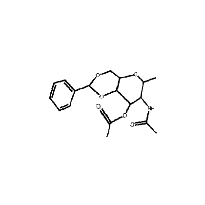 CC(=O)NC1C(C)OC2COC(c3ccccc3)OC2C1OC(C)=O